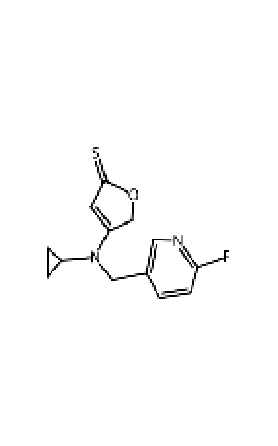 Fc1ccc(CN(C2=CC(=S)OC2)C2CC2)cn1